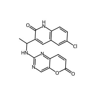 CC(Nc1ncc2oc(=O)ccc2n1)c1cc2cc(Cl)ccc2[nH]c1=O